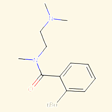 CN(C)CCN(C)C(=O)c1ccccc1C(C)(C)C